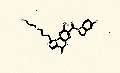 CCCOCCCc1ncc2c(=O)[nH]c3cc(C(=O)N4CCc5cc(Cl)ccc54)c(C)cc3n12